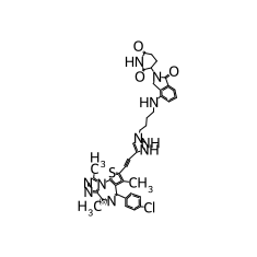 Cc1c(C#CC2=CN(CCCCNc3cccc4c3CN(C3CCC(=O)NC3=O)C4=O)NN2)sc2c1C(c1ccc(Cl)cc1)=N[C@@H](C)c1nnc(C)n1-2